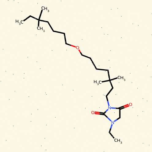 CCN1CC(=O)N(CCC(C)(C)CCCCOCCCCC(C)(C)CC)C1=O